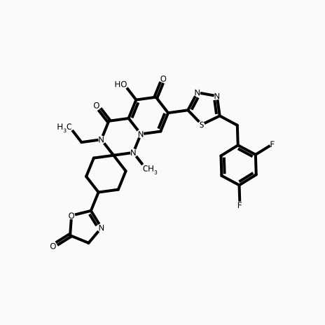 CCN1C(=O)c2c(O)c(=O)c(-c3nnc(Cc4ccc(F)cc4F)s3)cn2N(C)C12CCC(C1=NCC(=O)O1)CC2